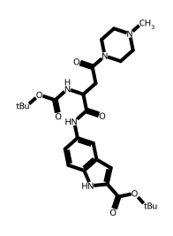 CN1CCN(C(=O)CC(NC(=O)OC(C)(C)C)C(=O)Nc2ccc3[nH]c(C(=O)OC(C)(C)C)cc3c2)CC1